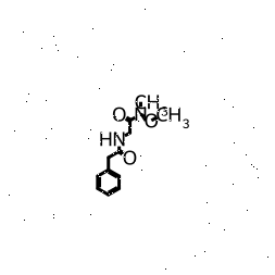 CON(C)C(=O)CNC(=O)Cc1ccccc1